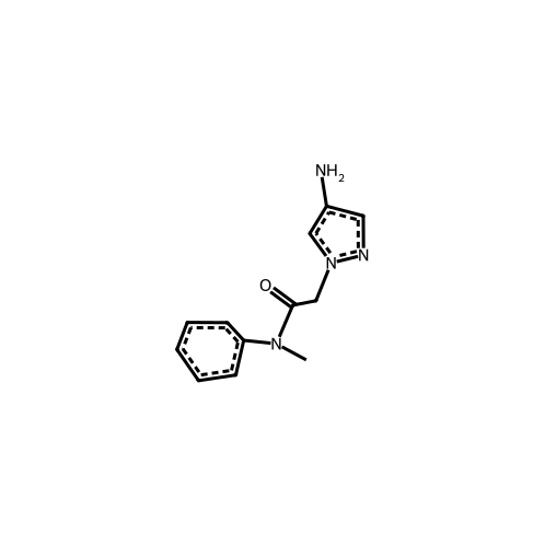 CN(C(=O)Cn1cc(N)cn1)c1ccccc1